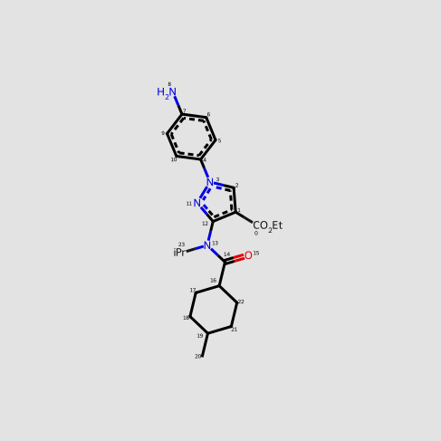 CCOC(=O)c1cn(-c2ccc(N)cc2)nc1N(C(=O)C1CCC(C)CC1)C(C)C